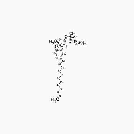 CCCCCCCCCCCCc1ccc(OC(C)(C)CCOC(C)(C)CCO)cc1